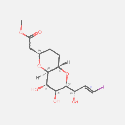 COC(=O)C[C@H]1CC[C@@H]2O[C@@H]([C@@H](O)/C=C/I)[C@@H](O)[C@@H](O)[C@H]2O1